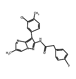 Cc1cnc2c(-c3ccc(C)c(Cl)c3)c(NC(=O)Cc3ccc(F)cc3)nn2c1